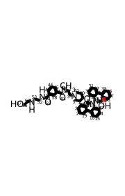 CN(CCN1CCC(OC(=O)N(c2ccccc2-c2ccccc2)N(C(=O)O)c2ccccc2-c2ccccc2)CC1)C(=O)c1cccc(C(=O)NCCNCCO)c1